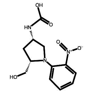 O=C(O)N[C@H]1C[C@@H](CO)N(c2ccccc2[N+](=O)[O-])C1